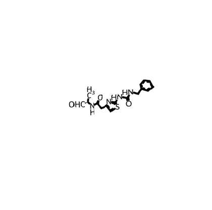 C[C@@H](C=O)NC(=O)Cc1csc(NC(=O)NCc2ccccc2)n1